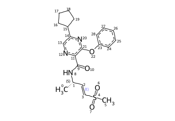 C[C@@H](/C=C/S(C)(=O)=O)NC(=O)c1ncc(C2CCCC2)nc1Oc1ccccc1